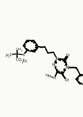 CCCCCCc1nn(CCCc2cccc(SC(C)(C)C(=O)OCC)c2)c(=O)n(Cc2ccccc2)c1=O